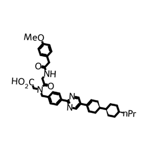 CCC[C@H]1CC[C@@H]([C@@H]2CC=C(c3cnc(-c4ccc(CN(CC(=O)O)C(=O)CNC(=O)Cc5ccc(OC)cc5)cc4)nc3)CC2)CC1